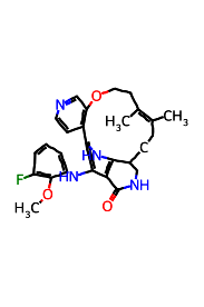 COc1c(F)cccc1Nc1c2[nH]c3c1C(=O)NCC3CC/C(C)=C(\C)CCOc1cnccc1-2